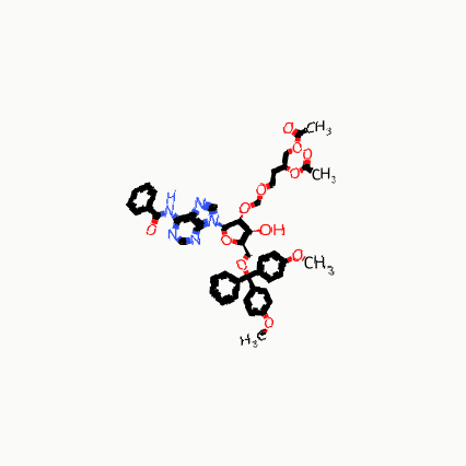 COc1ccc(C(OC[C@H]2O[C@@H](n3cnc4c(NC(=O)c5ccccc5)ncnc43)[C@H](OCOCCC(COC(C)=O)OC(C)=O)[C@@H]2O)(c2ccccc2)c2ccc(OC)cc2)cc1